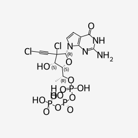 C[C@@H](OP(=O)(O)OP(=O)(O)OP(=O)(O)O)[C@H]1O[C@@H](n2ccc3c(=O)[nH]c(N)nc32)C(Cl)(C#CCl)[C@H]1O